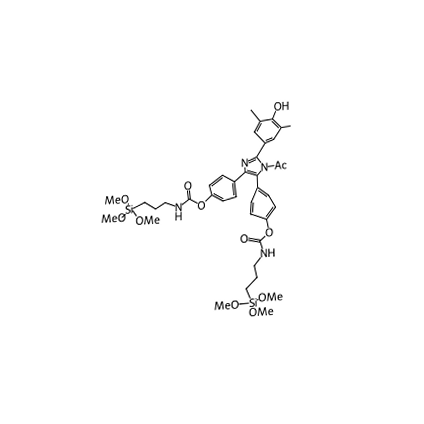 CO[Si](CCCNC(=O)Oc1ccc(-c2nc(-c3cc(C)c(O)c(C)c3)n(C(C)=O)c2-c2ccc(OC(=O)NCCC[Si](OC)(OC)OC)cc2)cc1)(OC)OC